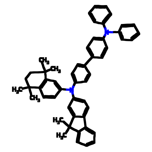 CC1(C)CCC(C)(C)c2cc(N(c3ccc(-c4ccc(N(c5ccccc5)c5ccccc5)cc4)cc3)c3ccc4c(c3)C(C)(C)c3ccccc3-4)ccc21